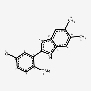 COc1ccc(Cl)cc1-c1nc2cc(C)c(C)cc2[nH]1